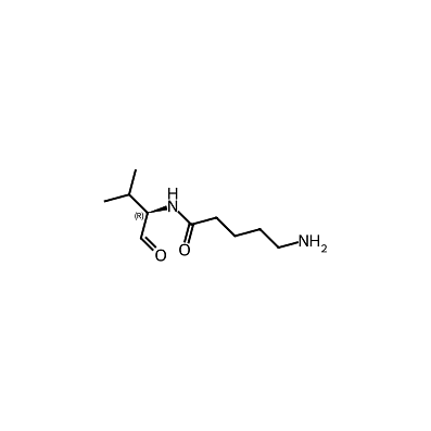 CC(C)[C@H](C=O)NC(=O)CCCCN